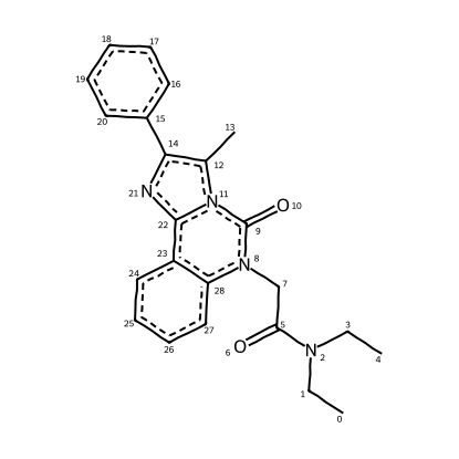 CCN(CC)C(=O)Cn1c(=O)n2c(C)c(-c3ccccc3)nc2c2ccccc21